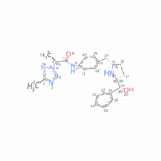 Cc1ncn([C@@H](C)C(=O)Nc2ccc(C[C@@H]3CC[C@H]([C@H](O)c4ccccc4)N3)cc2)n1